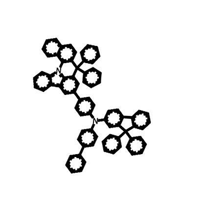 c1ccc(-c2ccc(N(c3ccc(-c4cc5c6c(c4)c4ccccc4n6-c4c(ccc6ccccc46)C5(c4ccccc4)c4ccccc4)cc3)c3ccc4c(c3)C(c3ccccc3)(c3ccccc3)c3ccccc3-4)cc2)cc1